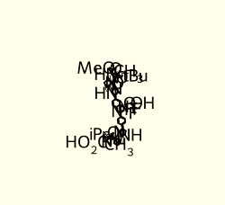 COC(=O)N[C@@H](C(=O)N1CCC[C@H]1c1ncc(-c2ccc3nc(-c4ccc(-c5c[nH]c([C@@H]6CCCN6C(=O)[C@H](C(C)C)N(C)C(=O)O)n5)cc4)cnc3c2)[nH]1)[C@@H](C)OC(C)(C)C.O=C(O)C(F)(F)F